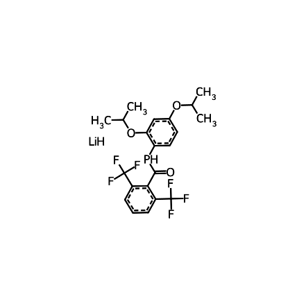 CC(C)Oc1ccc(PC(=O)c2c(C(F)(F)F)cccc2C(F)(F)F)c(OC(C)C)c1.[LiH]